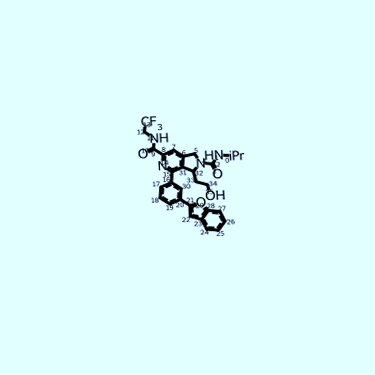 CC(C)NC(=O)N1Cc2cc(C(=O)NCC(F)(F)F)nc(-c3cccc(-c4cc5ccccc5o4)c3)c2C1CCO